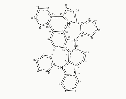 c1ccc(-n2c3ccccc3c3ccc4c(c5ccc6c7cnccc7c7nccn7c6c5n4-c4ccccc4)c32)cc1